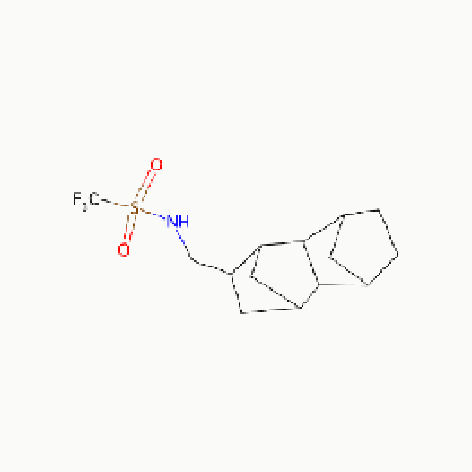 O=S(=O)(NCC1CC2CC1C1C3CCC(C3)C21)C(F)(F)F